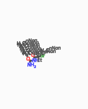 CCC(Br)(CC)C(=O)NC(N)=O.CCCCCCCCCC.CCCCCCCCCC.CCCCCCCCCC.CCCCCCCCCC.CCCCCCCCCC.CCCCCCCCCC.CCCCCCCCCC.CCCCCCCCCC.CCCCCCCCCC